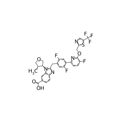 C[C@H]1COC[C@H]1n1c(Cc2cc(F)c(-c3ccc(F)c(OCc4ncc(C(F)(F)F)s4)n3)cc2F)nc2ccc(C(=O)O)cc21